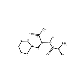 C[C@H](N)C(=O)N(C)[C@@H](CC1CCCCC1)C(=O)O